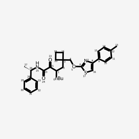 CCCC[C](CC1(COc2nc(-c3ccc(C)cc3)cs2)CCC1)C(=O)C(=O)N[C@@H](C)c1ccccc1